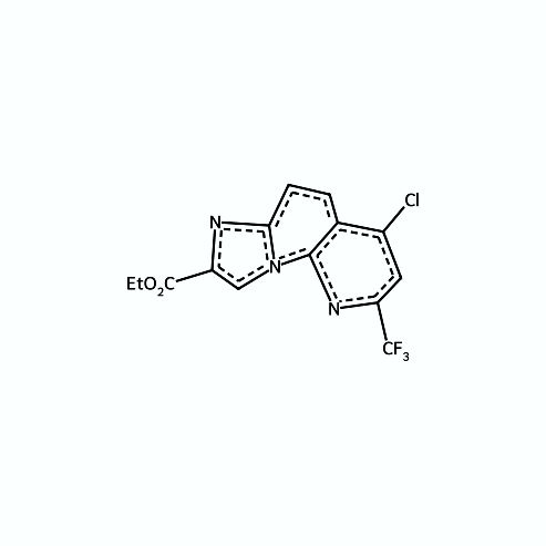 CCOC(=O)c1cn2c(ccc3c(Cl)cc(C(F)(F)F)nc32)n1